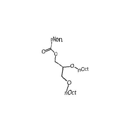 CCCCCCCCCC(=O)OCC(COCCCCCCCC)OCCCCCCCC